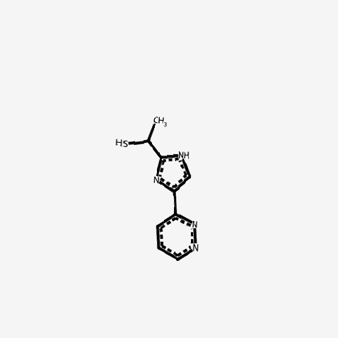 CC(S)c1nc(-c2cccnn2)c[nH]1